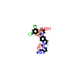 CNC(=O)C1CCCN1C(=O)N1CCc2cc(N(CC(=O)O)S(=O)(=O)c3cc(Cl)cc(Cl)c3)ccc21